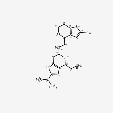 CN(C)c1cc2c(s1)CC(NCC1OCCc3sc(F)cc31)OC2CN